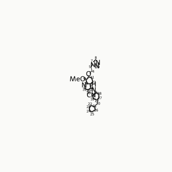 COc1c(OCCn2ccnn2)ccc2c(Nc3ccc(Cc4ccccc4)cc3)c(C#N)cnc12